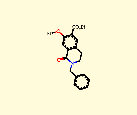 CCOC(=O)c1cc2c(cc1OCC)C(=O)N(Cc1ccccc1)CC2